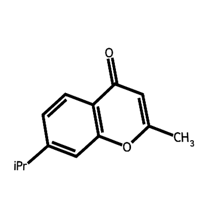 Cc1cc(=O)c2ccc(C(C)C)cc2o1